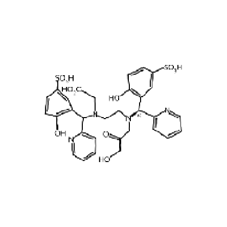 O=C(O)CN(CCN(CC(=O)CO)[C@H](c1ccccn1)c1cc(S(=O)(=O)O)ccc1O)C(c1ccccn1)c1cc(S(=O)(=O)O)ccc1O